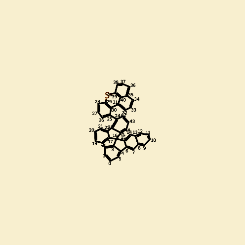 c1ccc2c(c1)-c1cc3ccccc3cc1C21c2ccccc2-c2c(-c3cccc4c3-c3cccc5cccc(c35)S4)cccc21